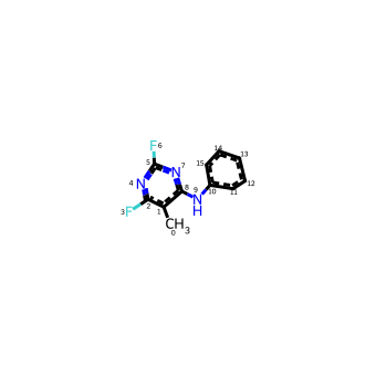 Cc1c(F)nc(F)nc1Nc1ccccc1